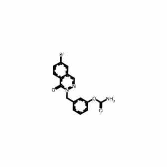 NC(=O)Oc1cccc(Cn2ncc3cc(Br)ccc3c2=O)c1